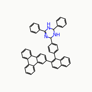 c1ccc(C2=NC(c3ccc(-c4c(-c5ccc6c7ccccc7c7ccccc7c6c5)ccc5ccccc45)cc3)NC(c3ccccc3)N2)cc1